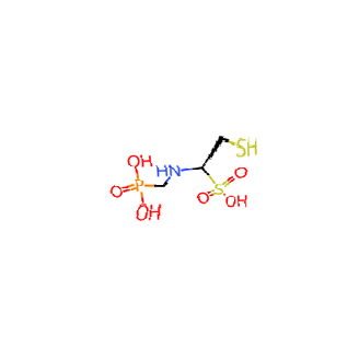 O=P(O)(O)CN[C@@H](CS)S(=O)(=O)O